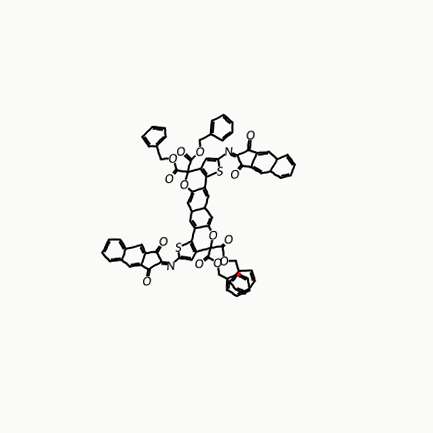 O=C(OCc1ccccc1)C1(C(=O)OCc2ccccc2)OC2=CC3C=C4C(=CC3C=C2c2sc(N=c3c(=O)c5c(c3=O)=CC3C=CC=CC3C=5)cc21)OC(C(=O)OCc1ccccc1)(C(=O)OCc1ccccc1)c1cc(N=c2c(=O)c3cc5ccccc5cc3c2=O)sc14